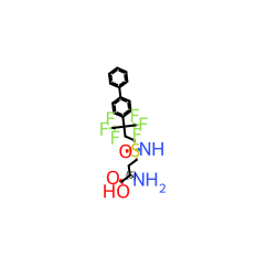 N=S(=O)(CC[C@H](N)C(=O)O)CCC(c1ccc(-c2ccccc2)cc1)(C(F)(F)F)C(F)(F)F